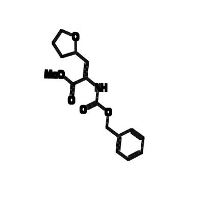 COC(=O)C(=CC1CCCO1)NC(=O)OCc1ccccc1